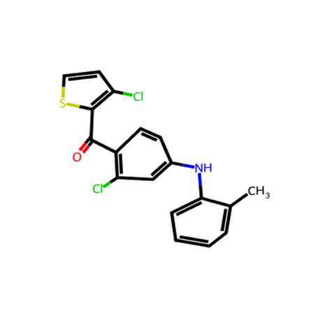 Cc1ccccc1Nc1ccc(C(=O)c2sccc2Cl)c(Cl)c1